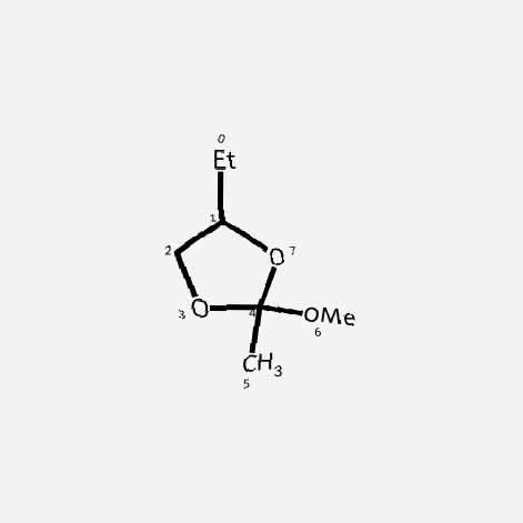 CCC1COC(C)(OC)O1